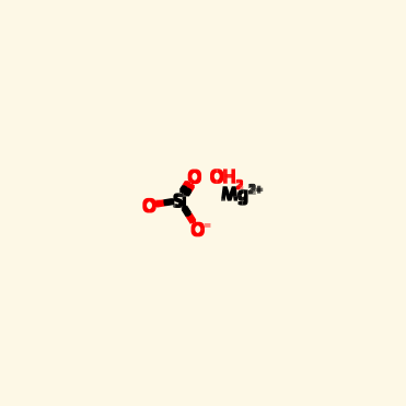 O.O=[Si]([O-])[O-].[Mg+2]